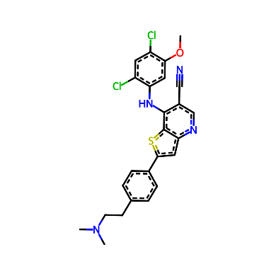 COc1cc(Nc2c(C#N)cnc3cc(-c4ccc(CCN(C)C)cc4)sc23)c(Cl)cc1Cl